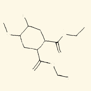 C=C(OCC)C1CC(OC)C(F)CC1C(=O)OCC